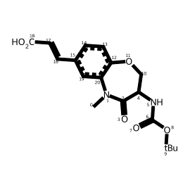 CN1C(=O)C(NC(=O)OC(C)(C)C)COc2ccc(/C=C/C(=O)O)cc21